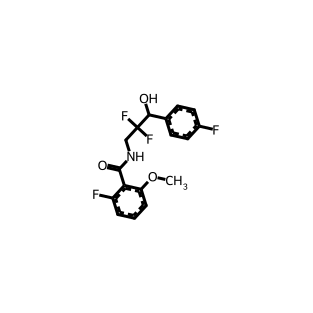 COc1cccc(F)c1C(=O)NCC(F)(F)C(O)c1ccc(F)cc1